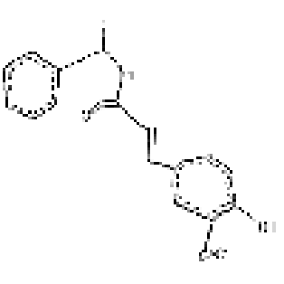 COc1cc(C=CC(=O)NC(C)c2ccccc2)ccc1O